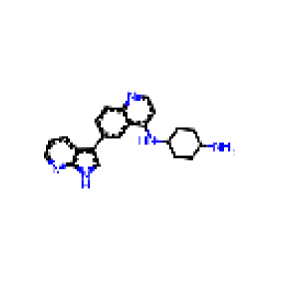 NC1CCC(Nc2ccnc3ccc(-c4c[nH]c5ncccc45)cc23)CC1